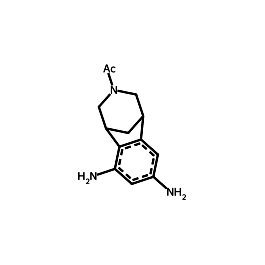 CC(=O)N1CC2CC(C1)c1c(N)cc(N)cc12